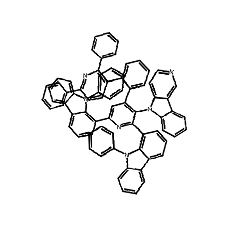 c1ccc(-c2ccc(-c3ccccc3-c3cc(-c4cccc5c6ccccc6n(-c6ccccc6)c45)nc(-c4cccc5c6ccccc6n(-c6ccccc6)c45)c3-n3c4ccccc4c4cnccc43)c(-c3ccccc3)n2)cc1